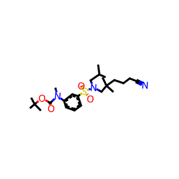 CC(C)CN(CC(C)(C)CCCC#N)S(=O)(=O)c1cccc(N(C)C(=O)OC(C)(C)C)c1